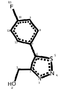 OCc1nnsc1-c1ccc(F)cc1